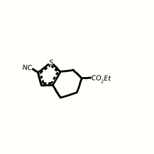 CCOC(=O)C1CCc2cc(C#N)sc2C1